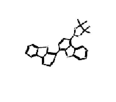 CC1(C)OB(c2ccc(-c3cccc4c3sc3ccccc34)c3oc4ccccc4c23)OC1(C)C